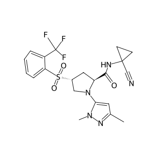 Cc1cc(N2C[C@H](S(=O)(=O)c3ccccc3C(F)(F)F)C[C@H]2C(=O)NC2(C#N)CC2)n(C)n1